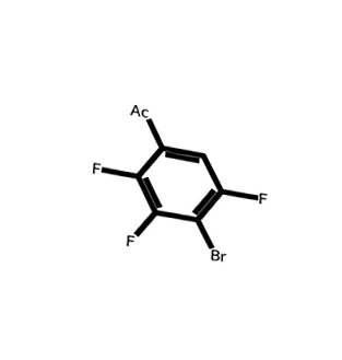 CC(=O)c1cc(F)c(Br)c(F)c1F